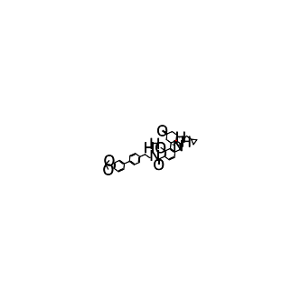 O=C1CC[C@H]2[C@H]3Cc4ccc(C(=O)NCCc5ccc(-c6ccc7c(c6)OCO7)cc5)c(O)c4[C@@]2(CCN3CC2CC2)C1